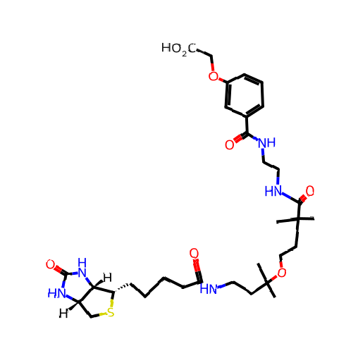 CC(C)(CCNC(=O)CCCC[C@@H]1SC[C@@H]2NC(=O)N[C@@H]21)OCCC(C)(C)C(=O)NCCNC(=O)c1cccc(OCC(=O)O)c1